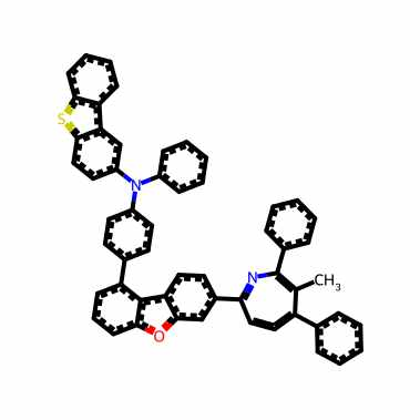 CC1=C(c2ccccc2)N=C(c2ccc3c(c2)oc2cccc(-c4ccc(N(c5ccccc5)c5ccc6sc7ccccc7c6c5)cc4)c23)C=C=C1c1ccccc1